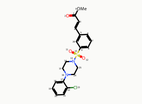 COC(=O)C=Cc1cccc(S(=O)(=O)N2CCN(c3ccccc3Cl)CC2)c1